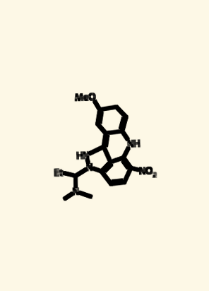 CCC(N(C)C)n1[nH]c2c3c([nH]c4c([N+](=O)[O-])ccc1c4-2)=CCC(OC)=C3